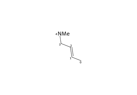 C/C=C/CNC